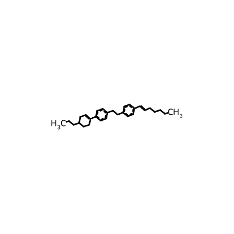 CCCCC/C=C/c1ccc(CCc2ccc(C3=CCC(CCC)CC3)cc2)cc1